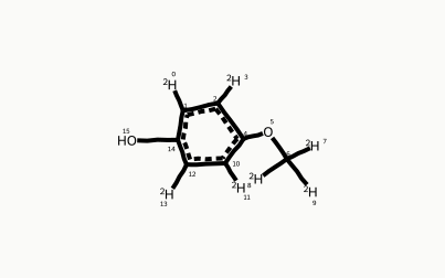 [2H]c1c([2H])c(OC([2H])([2H])[2H])c([2H])c([2H])c1O